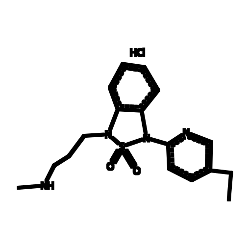 CCc1ccc(N2c3ccccc3N(CCCNC)S2(=O)=O)nc1.Cl